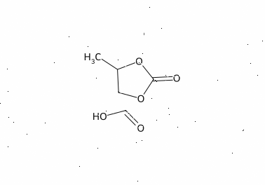 CC1COC(=O)O1.O=CO